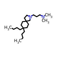 CCCCC1(CCCC)CCC2(CCN(CCCN(C)C)C2)CC1